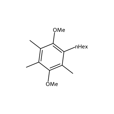 CCCCCCc1c(C)c(OC)c(C)c(C)c1OC